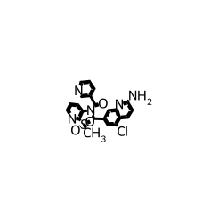 CS(=O)(=O)c1ncccc1N(Cc1cc(Cl)c2ccc(N)nc2c1)C(=O)c1cccnc1